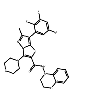 Cc1nn2c(N3CCOCC3)c(C(=O)NN3CCOc4ccccc43)sc2c1-c1cc(F)cc(F)c1F